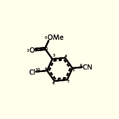 COC(=O)c1cc(C#N)ccc1Cl